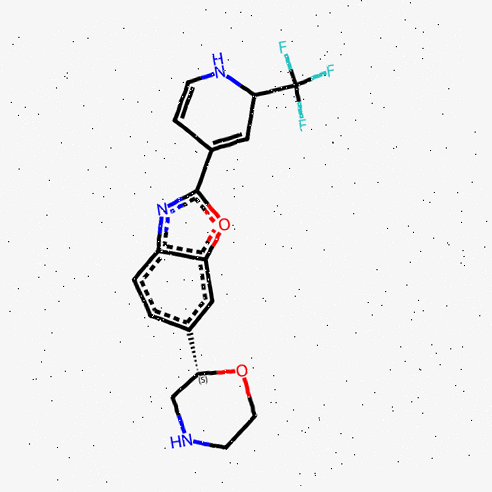 FC(F)(F)C1C=C(c2nc3ccc([C@H]4CNCCO4)cc3o2)C=CN1